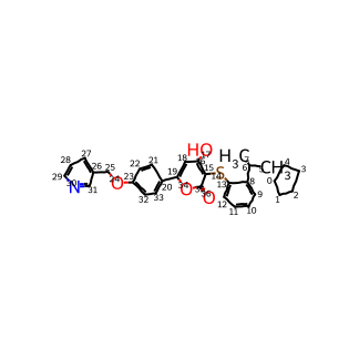 C1CCCC1.CC(C)c1ccccc1Sc1c(O)cc(-c2ccc(OCc3cccnc3)cc2)oc1=O